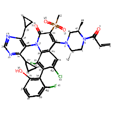 C=CC(=O)N1C[C@H](C)N(c2c(S(C)(=O)=O)c(=O)n(-c3c(C4CC4)ncnc3C3CC3)c3c(F)c(-c4c(O)cccc4F)c(Cl)cc23)C[C@H]1C